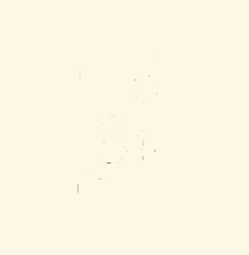 CS(=O)(=O)c1cc(S(C)(=O)=O)c2c(Sc3ccc(Cl)cc3)c3n(c2c1)CCC3CC(=O)O